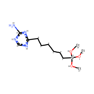 CCO[Si](CCCCCCc1ncnc(N)n1)(OCC)OCC